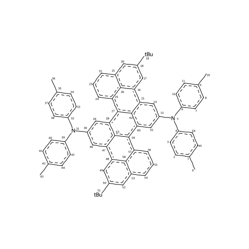 Cc1ccc(N(c2ccc(C)cc2)c2cc3c4cc(C(C)(C)C)cc5cccc(c54)c4c5cc(N(c6ccc(C)cc6)c6ccc(C)cc6)cc6c7cc(C(C)(C)C)cc8cccc(c87)c(c(c2)c34)c65)cc1